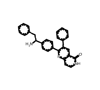 NC(Cc1ccccc1)c1ccc(-c2nc3cc[nH]c(=O)c3cc2-c2ccccc2)cc1